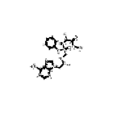 CC[C@H](N[P@@](=O)(CO[C@H](C)Cn1cnc2c(N)ncnc21)Oc1ccccc1)C(=O)OC(C)C